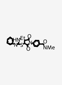 CCN/C(=N\c1ccccc1)SC1CC(=O)N(c2ccc(C(=O)NC)cc2)C1=O